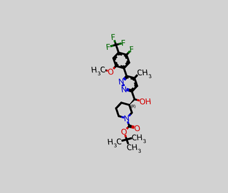 COc1cc(C(F)(F)F)c(F)cc1-c1nnc(C(O)[C@@H]2CCCN(C(=O)OC(C)(C)C)C2)cc1C